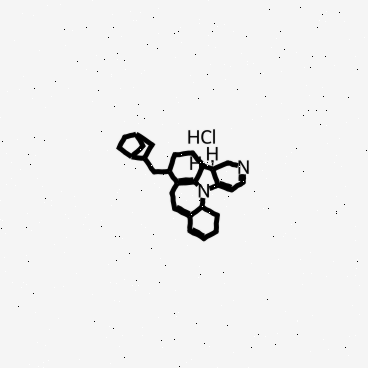 C1=CC2=CCC3=C4[C@H](CCC3CC3CC5CCC3C5)[C@H]3CN=CC=C3N4C2CC1.Cl